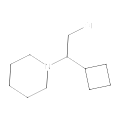 OCC([C]1CCC1)N1CCCCC1